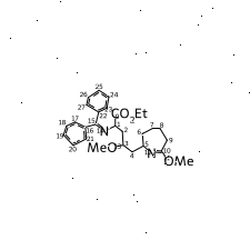 CCOC(=O)C(CC(CC1CCCCC(OC)=N1)OC)N=C(c1ccccc1)c1ccccc1